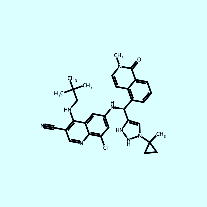 Cn1ccc2c([C@H](Nc3cc(Cl)c4ncc(C#N)c(NCC(C)(C)C)c4c3)C3=CN(C4(C)CC4)NN3)cccc2c1=O